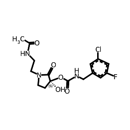 CC(=O)NCCN1CC[C@](O)(OC(=O)NCc2cc(F)cc(Cl)c2)C1=O